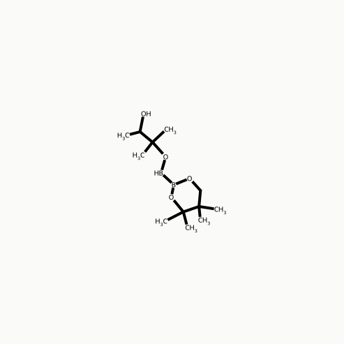 CC(O)C(C)(C)OBB1OCC(C)(C)C(C)(C)O1